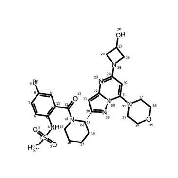 CS(=O)(=O)Nc1ccc(Br)cc1C(=O)N1CCCC[C@H]1c1cc2nc(N3CC(O)C3)cc(N3CCOCC3)n2n1